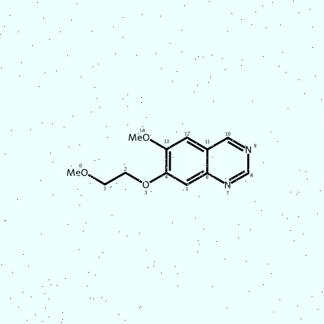 COCCOc1cc2ncn[c]c2cc1OC